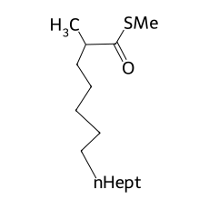 CCCCCCCCCCCCC(C)C(=O)SC